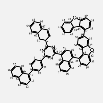 C1=CC(c2nc(-c3ccc(-c4cccc5ccccc45)cc3)nc(-c3ccc(-c4cccc5oc6cc(-c7cccc8oc9ccccc9c78)ccc6c45)c4ccccc34)n2)Cc2ccccc21